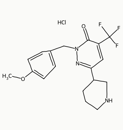 COc1ccc(Cn2nc(C3CCCNC3)cc(C(F)(F)F)c2=O)cc1.Cl